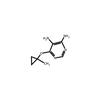 CC1(Oc2ncnc(N)c2N)CC1